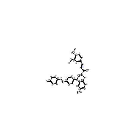 COc1ccc(/C=C/C(=O)N(Cc2ccc(Br)cc2)OCc2ccc(OCc3ccc(C)cc3)cc2)cc1OC